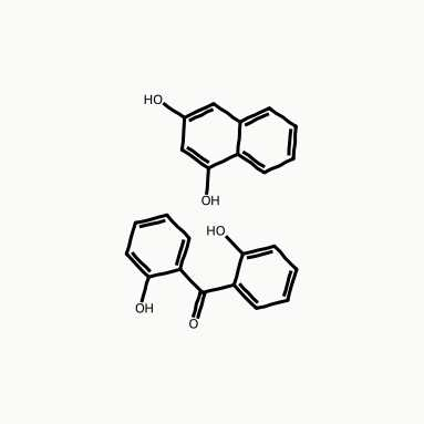 O=C(c1ccccc1O)c1ccccc1O.Oc1cc(O)c2ccccc2c1